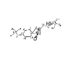 CC(C)(C)CC1CCC(C=O)(CNCCNC(C)(C)C)CC1